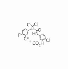 O=C(O)c1cc(NC(=O)[C@H]2C(c3ccc(F)c(C(F)(F)F)c3)C2(Cl)Cl)ccc1Cl